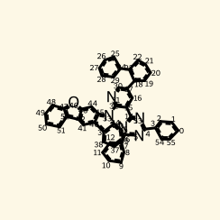 c1ccc(-c2nc(-c3ccccc3)nc(-c3cc(-c4ccccc4-c4ccccc4)cnc3-n3c4ccccc4c4cc5c(cc43)oc3ccccc35)n2)cc1